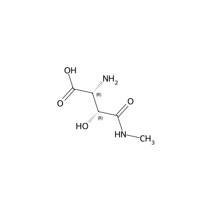 CNC(=O)[C@H](O)[C@@H](N)C(=O)O